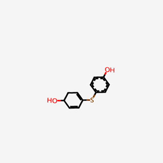 Oc1ccc(SC2=CCC(O)C=C2)cc1